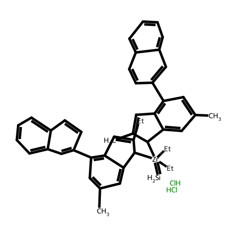 CCC1=Cc2c(-c3ccc4ccccc4c3)cc(C)cc2[CH]1[Zr](=[SiH2])([CH2]C)([CH2]C)[CH]1C(C)=Cc2c(-c3ccc4ccccc4c3)cc(C)cc21.Cl.Cl